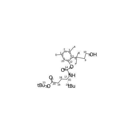 Cc1cc(C)c(C(C)(C)CCO)c(OC(=O)N[C@@H](CCC(=O)OC(C)(C)C)C(C)(C)C)c1